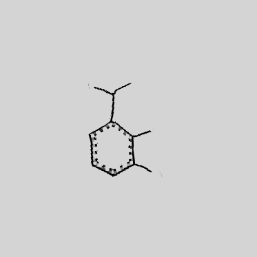 C[C](C)c1cccc(C(F)F)c1Cl